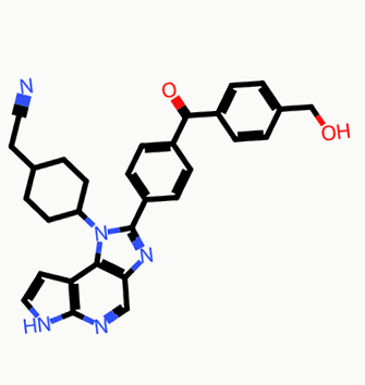 N#CCC1CCC(n2c(-c3ccc(C(=O)c4ccc(CO)cc4)cc3)nc3cnc4[nH]ccc4c32)CC1